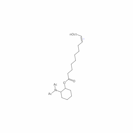 CCCCCCCC/C=C\CCCCCCCC(=O)OC1CCCCC1N(C(C)=O)C(C)=O